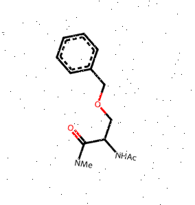 CNC(=O)C(COCc1ccccc1)NC(C)=O